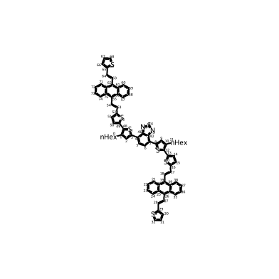 CCCCCCc1cc(-c2ccc(-c3cc(CCCCCC)c(-c4ccc(/C=C/c5c6ccccc6c(/C=C/c6cccs6)c6ccccc56)s4)s3)c3nsnc23)sc1-c1ccc(/C=C/c2c3ccccc3c(/C=C/c3cccs3)c3ccccc23)s1